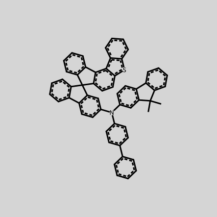 CC1(C)c2ccccc2-c2ccc(N(c3ccc(-c4ccccc4)cc3)c3ccc4c(c3)C3(c5ccccc5-4)c4ccccc4-c4c3ccc3sc5ccccc5c43)cc21